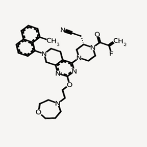 C=C(F)C(=O)N1CCN(c2nc(OCCN3CCCOCC3)nc3c2CCN(c2cccc4cccc(C)c24)C3)C[C@@H]1CC#N